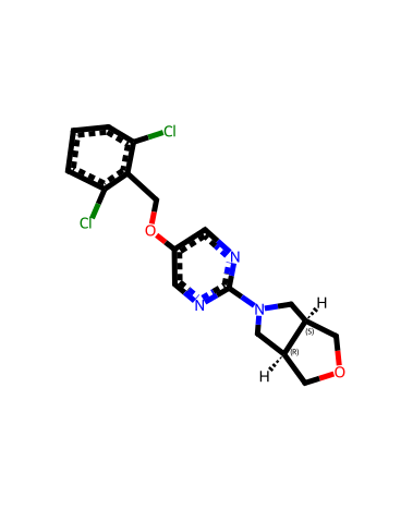 Clc1cccc(Cl)c1COc1cnc(N2C[C@H]3COC[C@H]3C2)nc1